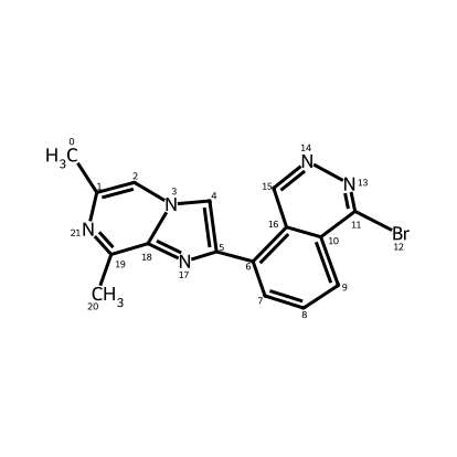 Cc1cn2cc(-c3cccc4c(Br)nncc34)nc2c(C)n1